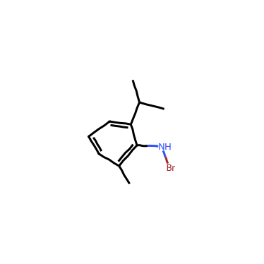 Cc1cccc(C(C)C)c1NBr